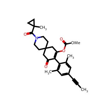 CC#Cc1cc(C)c(C2=C(OC(=O)OC)CC3(CCN(C(=O)C4(C)CC4)CC3)CC2=O)c(C)c1